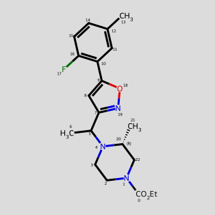 CCOC(=O)N1CCN(C(C)c2cc(-c3cc(C)ccc3F)on2)[C@H](C)C1